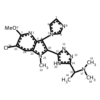 COc1nc2c(-n3ccnc3)c(-c3nnc(C(C)N(C)C)[nH]3)n(C)c2cc1Cl